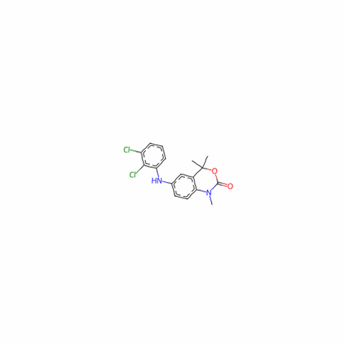 CN1C(=O)OC(C)(C)c2cc(Nc3cccc(Cl)c3Cl)ccc21